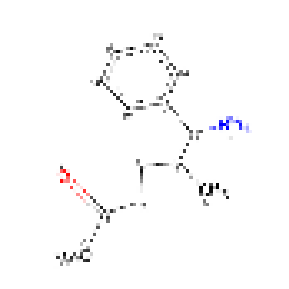 COC(=O)CCC(C)C(N)c1ccccc1